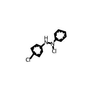 Clc1ccc(NN(Cl)c2ccccc2)cc1